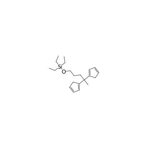 CC[Si](CC)(CC)OCCCC(C)(C1=CC=CC1)C1=CC=CC1